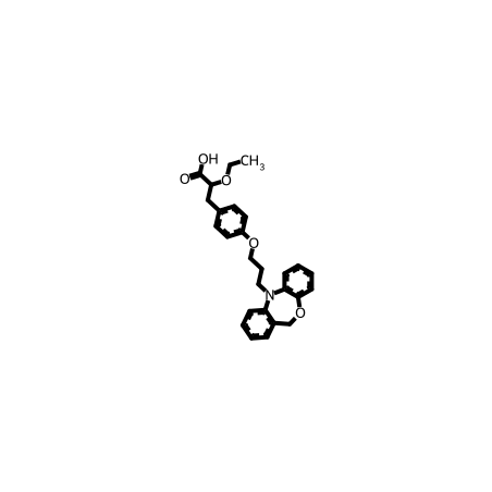 CCOC(Cc1ccc(OCCCN2c3ccccc3COc3ccccc32)cc1)C(=O)O